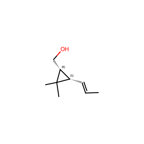 CC=C[C@H]1[C@@H](CO)C1(C)C